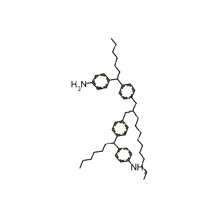 CCCCCCCCCCC(Cc1ccc(C(CCCCCC)c2ccc(N)cc2)cc1)Cc1ccc(C(CCCCCC)c2ccc(N)cc2)cc1